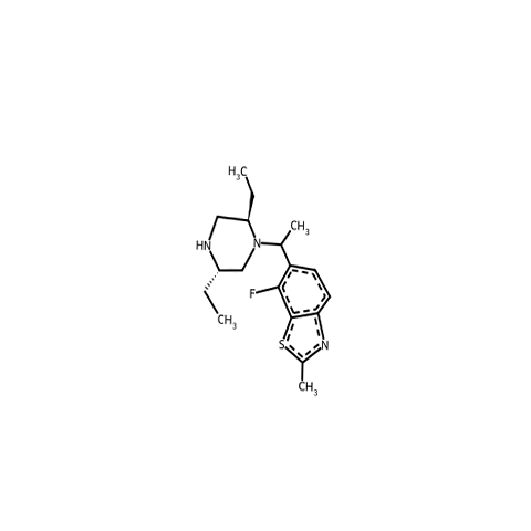 CC[C@H]1CN(C(C)c2ccc3nc(C)sc3c2F)[C@H](CC)CN1